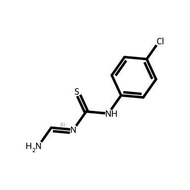 N/C=N/C(=S)Nc1ccc(Cl)cc1